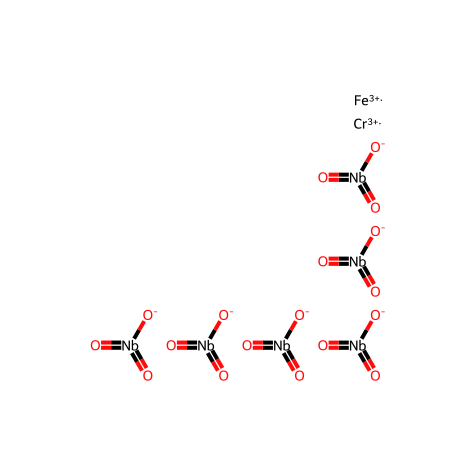 [Cr+3].[Fe+3].[O]=[Nb](=[O])[O-].[O]=[Nb](=[O])[O-].[O]=[Nb](=[O])[O-].[O]=[Nb](=[O])[O-].[O]=[Nb](=[O])[O-].[O]=[Nb](=[O])[O-]